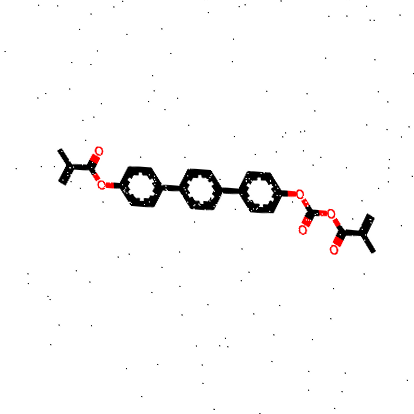 C=C(C)C(=O)OC(=O)Oc1ccc(-c2ccc(-c3ccc(OC(=O)C(=C)C)cc3)cc2)cc1